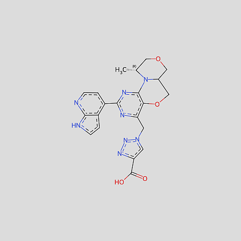 C[C@@H]1COCC2COc3c(Cn4cc(C(=O)O)nn4)nc(-c4ccnc5[nH]ccc45)nc3N21